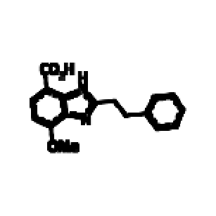 COc1ccc(C(=O)O)c2[nH]c(CCc3ccccc3)nc12